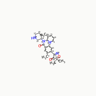 Cc1cc(C(=O)N(c2ncccc2C)C2CCCNC2)ccc1C1=NOC(C)(C)C1=O